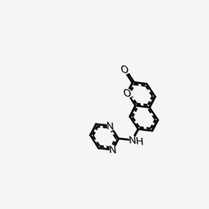 O=c1ccc2ccc(Nc3ncccn3)cc2o1